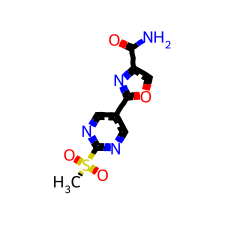 CS(=O)(=O)c1ncc(-c2nc(C(N)=O)co2)cn1